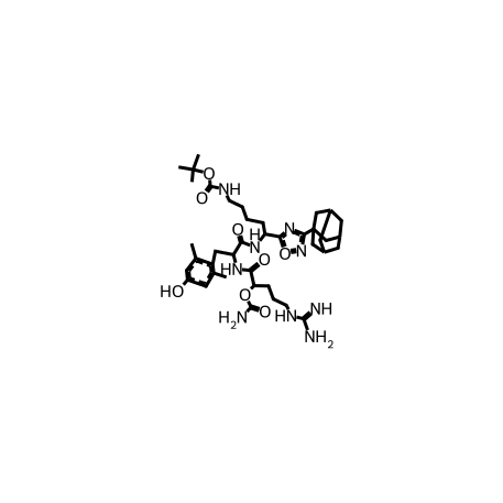 Cc1cc(O)cc(C)c1CC(NC(=O)C(CCCNC(=N)N)OC(N)=O)C(=O)NC(CCCCNC(=O)OC(C)(C)C)c1nc(C23CC4CC(CC(C4)C2)C3)no1